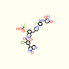 COc1cc(-c2cn(C)c(=O)c3cnccc23)cc(Cl)c1C(=O)N1CCc2c(CC3CCN(c4ccc(NC5CCC(=O)NC5=O)cc4F)CC3)ccc(F)c2C1.O=C(O)C(F)(F)F